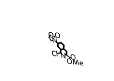 COC(=O)c1cc2ccc(N3CCOC3=O)cc2c(Cl)n1